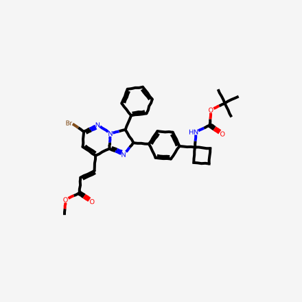 COC(=O)/C=C/C1=CC(Br)=NN2C1=NC(c1ccc(C3(NC(=O)OC(C)(C)C)CCC3)cc1)C2c1ccccc1